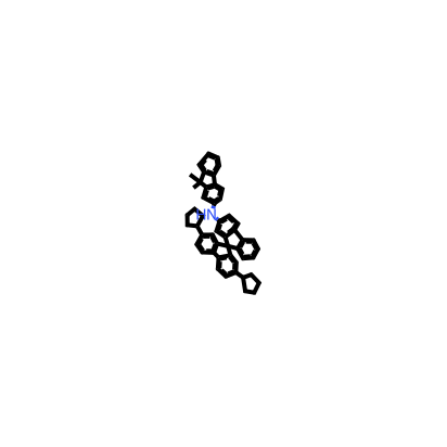 CC1(C)c2ccccc2-c2ccc(Nc3ccc4c(c3)C3(c5ccccc5-4)c4cc(C5CCCC5)ccc4-c4ccc(C5CCCC5)cc43)cc21